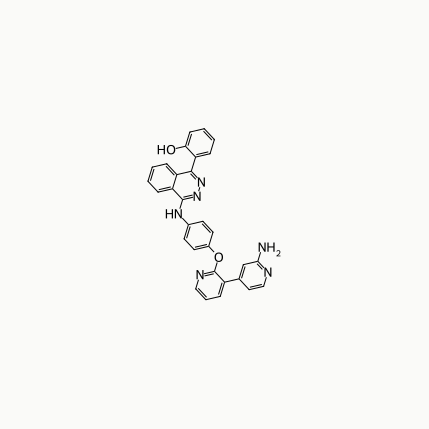 Nc1cc(-c2cccnc2Oc2ccc(Nc3nnc(-c4ccccc4O)c4ccccc34)cc2)ccn1